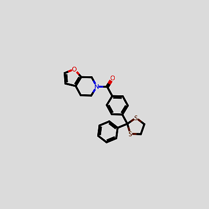 O=C(c1ccc(C2(c3ccccc3)SCCS2)cc1)N1CCc2ccoc2C1